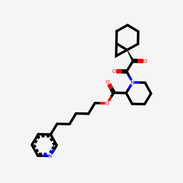 O=C(OCCCCCc1cccnc1)C1CCCCN1C(=O)C(=O)[C@]12CCCCC1C2